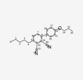 CCCCCc1ccc(-c2ccc(OCCC)cc2)c(C#N)c1C#N